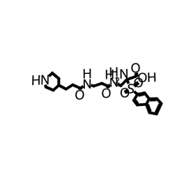 NC(CNC(=O)CCNC(=O)CCC1CCNCC1)(C(=O)O)S(=O)(=O)c1ccc2ccccc2c1